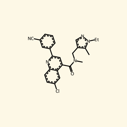 CCn1ncc(CN(C)C(=O)c2cc(-c3cccc(C#N)c3)nc3ccc(Cl)cc23)c1C